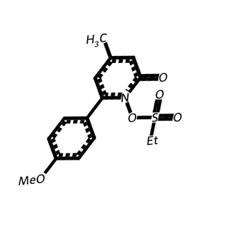 CCS(=O)(=O)On1c(-c2ccc(OC)cc2)cc(C)cc1=O